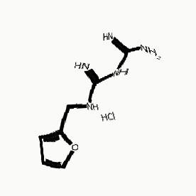 Cl.N=C(N)NC(=N)NCc1ccco1